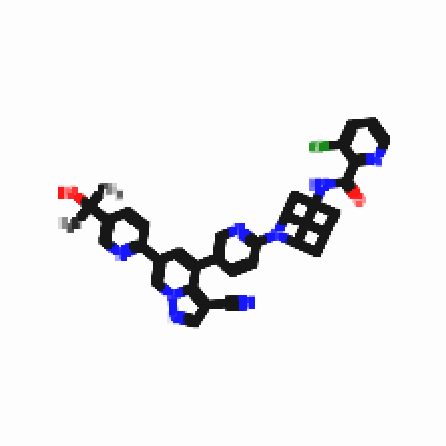 CC(C)(O)c1ccc(-c2cc(-c3ccc(N4C5CC6CC7(NC(=O)c8ncccc8Cl)CC4C657)nc3)c3c(C#N)cnn3c2)nc1